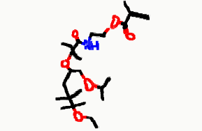 C=C(C)C(=O)OCCNC(=O)C(C)(C)OC(COC(C)C)CC(C)(C)C(C)(C)OCC